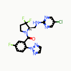 O=C(c1cc(F)ccc1-n1nccn1)N1CCC(F)(F)[C@H]1CNc1ncc(Cl)cn1